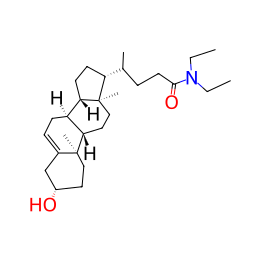 CCN(CC)C(=O)CCC(C)[C@H]1CC[C@H]2[C@@H]3CC=C4C[C@@H](O)CC[C@]4(C)[C@H]3CC[C@]12C